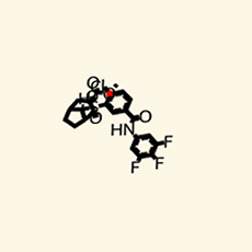 COC(=O)[C@H]1CC2CCC(C1)[C@@H]2S(=O)(=O)c1cc(C(=O)Nc2cc(F)c(F)c(F)c2)ccc1Cl